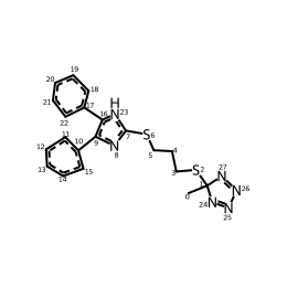 CC1(SCCCSc2nc(-c3ccccc3)c(-c3ccccc3)[nH]2)N=NN=N1